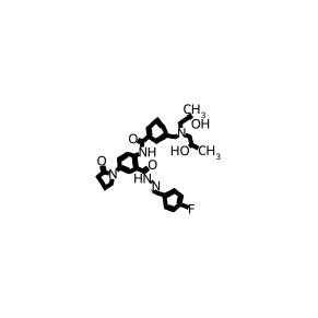 CC(O)CN(Cc1cccc(C(=O)Nc2ccc(N3CCCC3=O)cc2C(=O)NN=Cc2ccc(F)cc2)c1)CC(C)O